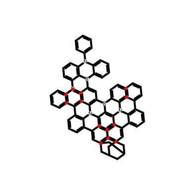 c1ccc(-c2cccc(-c3ccccc3)c2N2c3ccccc3B3c4cc5c(cc4N(c4c(-c6ccccc6)cccc4-c4ccccc4)c4cc(N6C7CC8CC(C7)CC6C8)cc2c43)N(c2ccccc2)c2cccc3c2B5c2ccccc2N3c2ccccc2)cc1